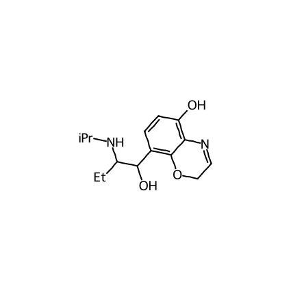 CCC(NC(C)C)C(O)c1ccc(O)c2c1OCC=N2